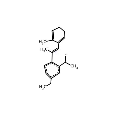 CCc1ccc(/C(C)=C/C2=CCCC=C2C)c(C(C)F)c1